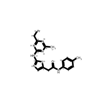 Cc1ccc(NC(=O)Cc2cnc(Nc3nc(C)nc(CC(C)C)n3)s2)cc1